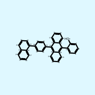 Oc1ccccc1-c1c2ccccc2c(-c2ccc(-c3cccc4ccccc34)cc2)c2ccccc12